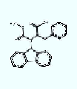 COC(=O)N(C(Cc1ccccc1)C(=O)O)C1c2ccccc2-c2ccccc21